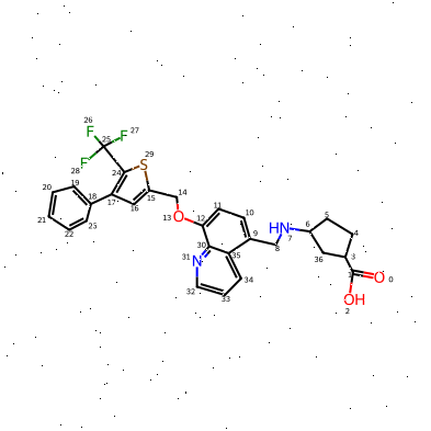 O=C(O)C1CCC(NCc2ccc(OCc3cc(-c4ccccc4)c(C(F)(F)F)s3)c3ncccc23)C1